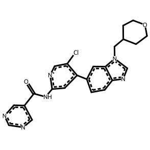 O=C(Nc1cc(-c2ccc3ncn(CC4CCOCC4)c3c2)c(Cl)cn1)c1cncnc1